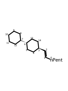 CCCCC/C=C/[C@H]1CC[C@H](C2CCCCC2)CC1